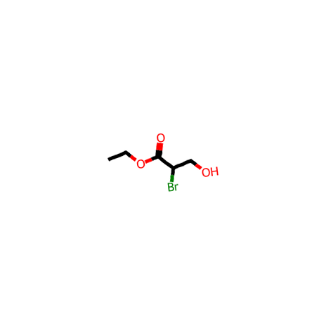 CCOC(=O)C(Br)CO